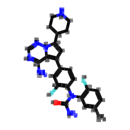 NC(=O)N(c1ccc(-c2cc(C3CCNCC3)n3ncnc(N)c23)cc1F)c1cc(C(F)(F)F)ccc1F